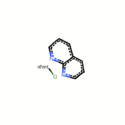 CCCCCCl.c1cnc2ncccc2c1